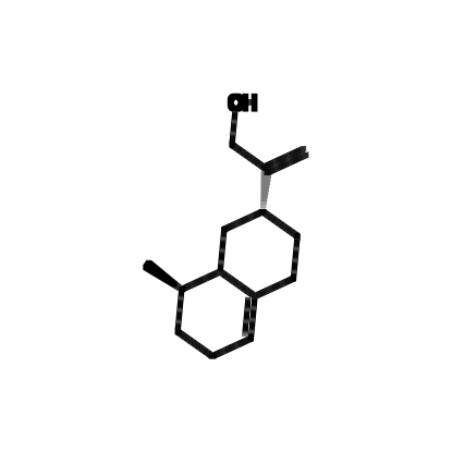 C=C(CO)[C@@H]1CCC2=CCC[C@@H](C)C2C1